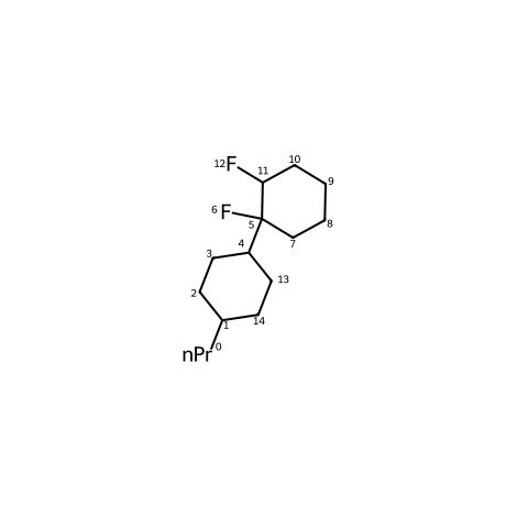 CCCC1CCC(C2(F)CCCCC2F)CC1